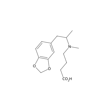 CC(Cc1ccc2c(c1)OCO2)N(C)CCCC(=O)O